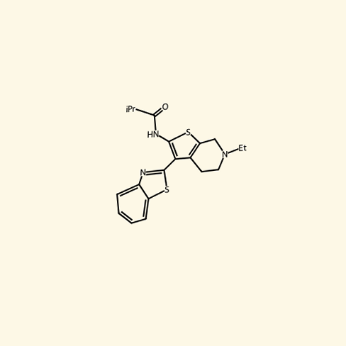 CCN1CCc2c(sc(NC(=O)C(C)C)c2-c2nc3ccccc3s2)C1